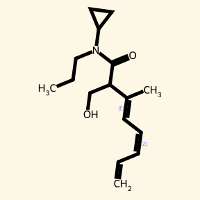 C=C/C=C\C=C(/C)C(CO)C(=O)N(CCC)C1CC1